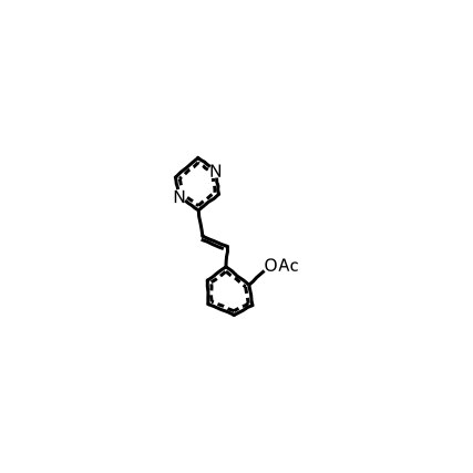 CC(=O)Oc1ccccc1/C=C/c1cnccn1